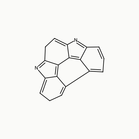 C1=c2nc3c4c2c(c2cccc5nc(c4c52)=CC3)=CC1